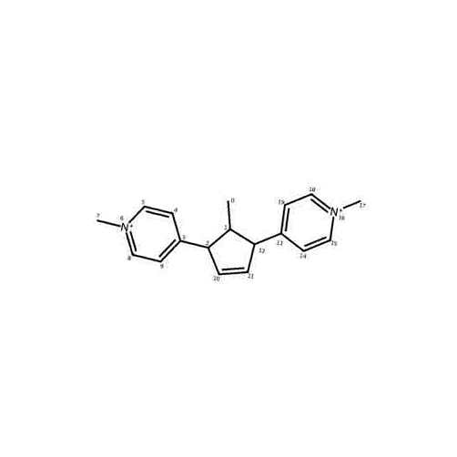 CC1C(c2cc[n+](C)cc2)C=CC1c1cc[n+](C)cc1